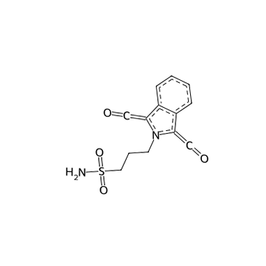 NS(=O)(=O)CCCn1c(=C=O)c2ccccc2c1=C=O